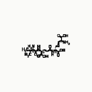 CC(C)[C@H](N)C(=O)N[C@H](CCC(=O)N[C@H](CSC[C@H](N)C(=O)O)C(=O)O)C(=O)O